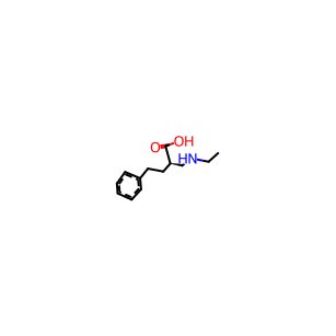 CCNC[C@@H](CCc1ccccc1)C(=O)O